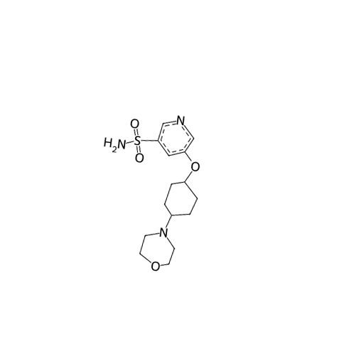 NS(=O)(=O)c1cncc(OC2CCC(N3CCOCC3)CC2)c1